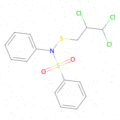 O=S(=O)(c1ccccc1)N(SCC(Cl)C(Cl)Cl)c1ccccc1